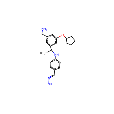 NCc1cc(OC2CCCC2)cc(C(Nc2ccc(C=NN)cc2)C(=O)O)c1